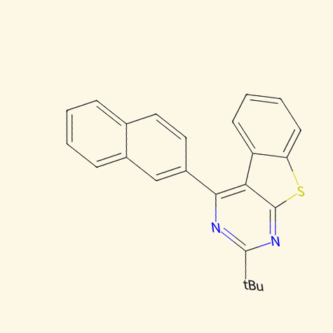 CC(C)(C)c1nc(-c2ccc3ccccc3c2)c2c(n1)sc1ccccc12